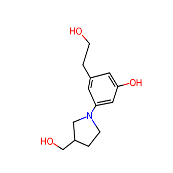 OCCc1cc(O)cc(N2CCC(CO)C2)c1